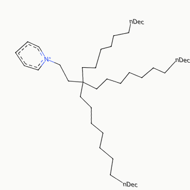 CCCCCCCCCCCCCCCCCC(CCCCCCCCCCCCCCCC)(CCCCCCCCCCCCCCCCC)CC[n+]1ccccc1